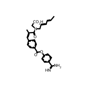 CC=CC=CCN(CC(=O)O)C(=O)C(C)=Cc1ccc(C(=O)Oc2ccc(C(=N)N)cc2)cc1